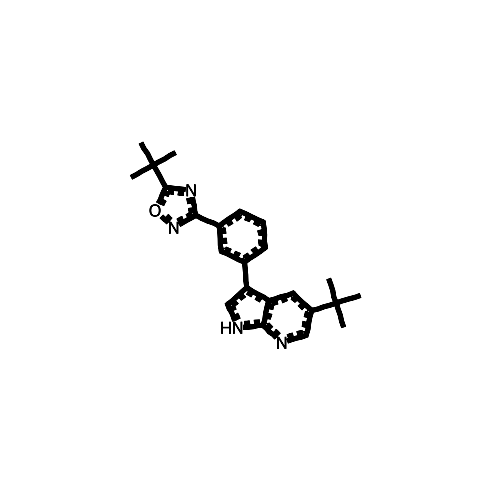 CC(C)(C)c1cnc2[nH]cc(-c3cccc(-c4noc(C(C)(C)C)n4)c3)c2c1